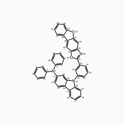 c1ccc(N(c2ccccc2)c2ccc3c4ccccc4n(-c4cccc(-c5nc6cc7oc8ccccc8c7cc6o5)c4)c3c2)cc1